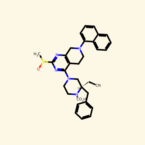 C[S+]([O-])c1nc2c(c(N3CCN(C(=O)O)[C@](CC#N)(Cc4ccccc4)C3)n1)CCN(c1cccc3ccccc13)C2